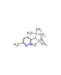 Cc1ccc(C(S(C)(C)C)S(C)(C)C)nn1